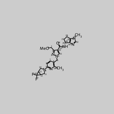 COCc1nn(Cc2ccc(N3CC4C(C3)C4(F)F)nc2C)cc1C(=O)N[C@@H]1CCc2c1ncn2C